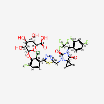 O=C(O)[C@H]1O[C@@H](Oc2c(F)ccc(-c3nnc(CN4C(=O)N([C@@H](c5ccc(F)cc5F)C(F)(F)F)C(=O)C45CC5)s3)c2Cl)[C@H](O)[C@@H](O)[C@@H]1O